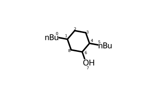 CCCCC1CCC(CCCC)C(O)C1